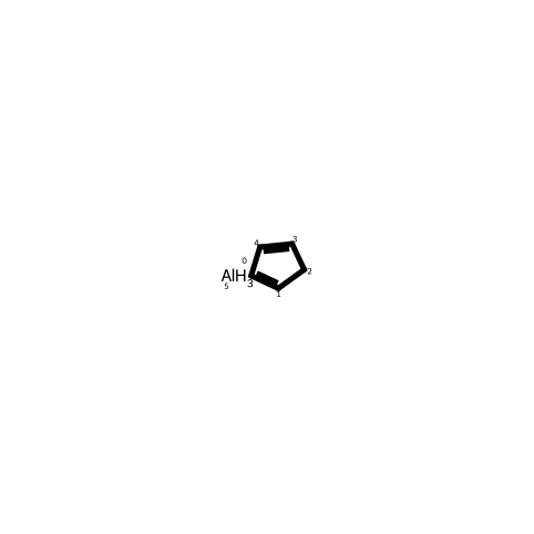 C1=CCC=C1.[AlH3]